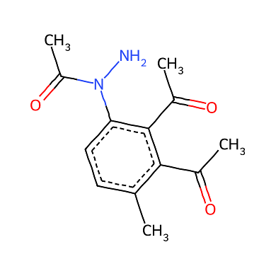 CC(=O)c1c(C)ccc(N(N)C(C)=O)c1C(C)=O